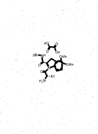 CCCCNC(=O)[C@H]1Cc2c(ccc(OC)c2OC)N1C(=O)[C@@H](N)CC.O=C(O)C(=O)O